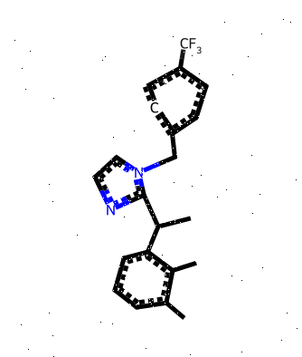 Cc1cccc(C(C)c2nccn2Cc2ccc(C(F)(F)F)cc2)c1C